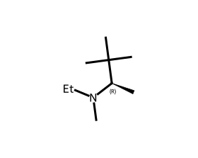 CCN(C)[C@H](C)C(C)(C)C